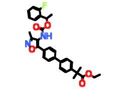 CCOC(=O)C(C)(C)c1ccc(-c2ccc(-c3onc(C)c3NC(=O)OC(C)c3ccccc3F)cc2)cc1